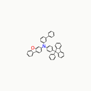 c1ccc(-c2cccc(N(c3ccc(C4(c5ccccc5)c5ccccc5-c5ccccc54)cc3)c3ccc4c(c3)oc3ccccc34)c2)cc1